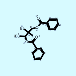 CCC(C)C(OC(=O)c1ccccc1)C(C)(CC)COC(=O)c1ccccc1